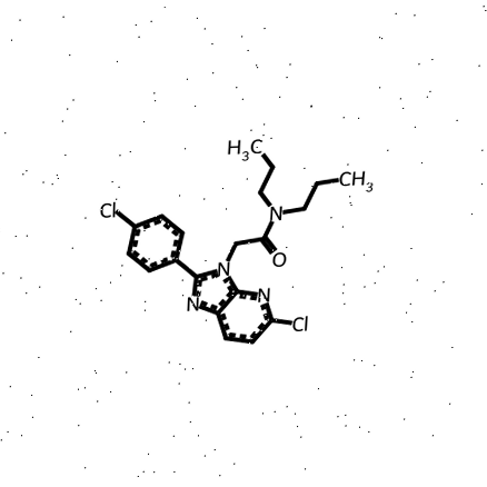 CCCN(CCC)C(=O)Cn1c(-c2ccc(Cl)cc2)nc2ccc(Cl)nc21